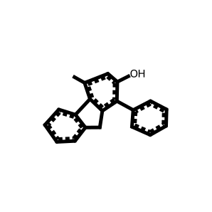 Cc1cc(O)c(-c2ccccc2)c2c1-c1ccccc1C2